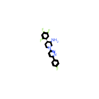 NC1CN(c2ccc(-c3ccc(F)cc3)nn2)CC[C@@H]1C1CC(F)=C(F)C=C1F